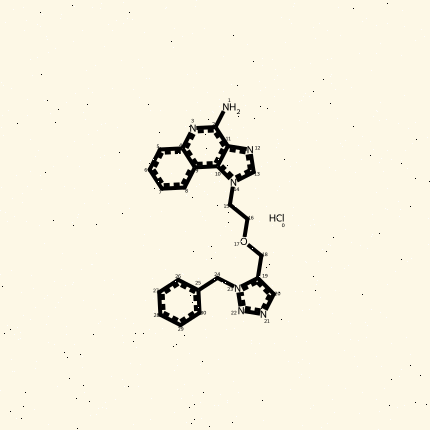 Cl.Nc1nc2ccccc2c2c1ncn2CCOCc1cnnn1Cc1ccccc1